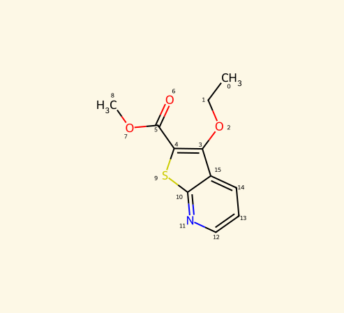 CCOc1c(C(=O)OC)sc2ncccc12